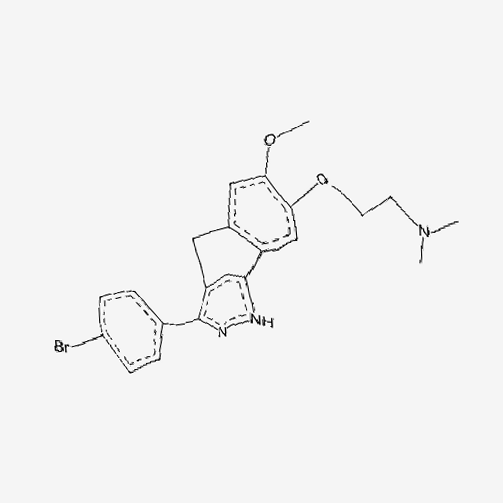 COc1cc2c(cc1OCCN(C)C)-c1[nH]nc(-c3ccc(Br)cc3)c1C2